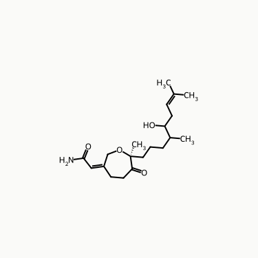 CC(C)=CCC(O)C(C)CCC[C@]1(C)OCC(=CC(N)=O)CCC1=O